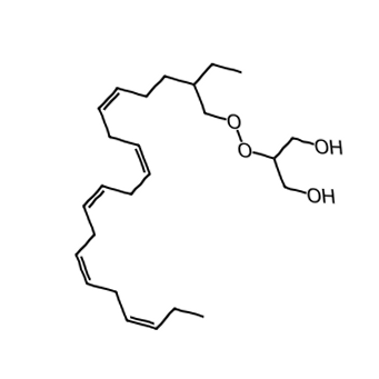 CC/C=C\C/C=C\C/C=C\C/C=C\C/C=C\CCC(CC)COOC(CO)CO